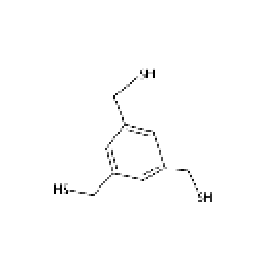 SCc1cc(CS)cc(CS)c1